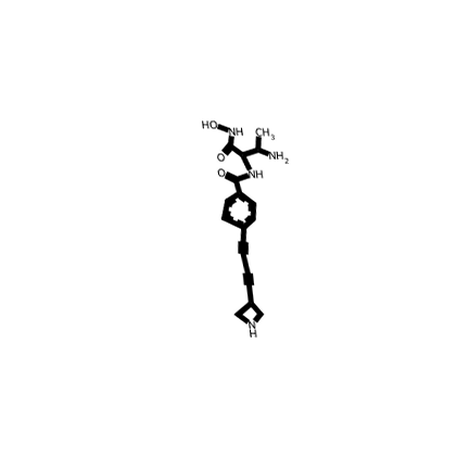 CC(N)C(NC(=O)c1ccc(C#CC#CC2CNC2)cc1)C(=O)NO